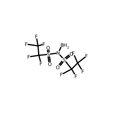 BN(S(=O)(=O)C(F)(F)C(F)(F)F)S(=O)(=O)C(F)(F)C(F)(F)F